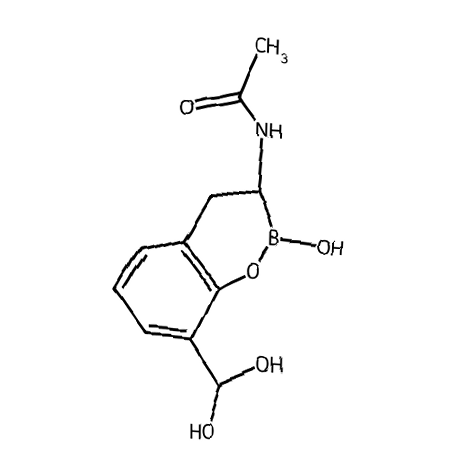 CC(=O)NC1Cc2cccc(C(O)O)c2OB1O